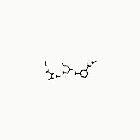 CCCC(CC(=O)Nc1nc(C)c(C(=O)OCC)s1)NC(=O)c1cccc(-c2noc(C)n2)c1